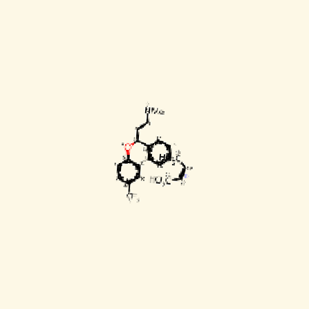 CNCCC(Oc1ccc(C(F)(F)F)cc1)c1ccccc1.O=C(O)/C=C\C(=O)O